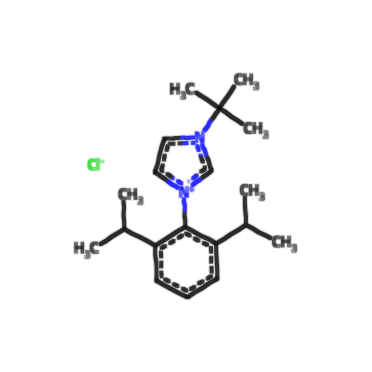 CC(C)c1cccc(C(C)C)c1-[n+]1ccn(C(C)(C)C)c1.[Cl-]